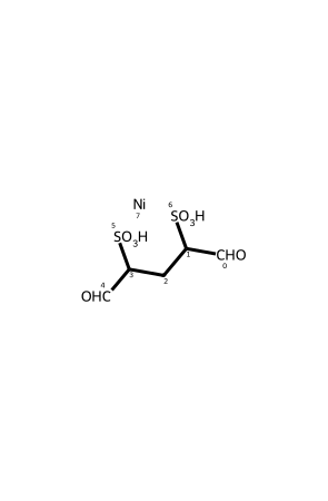 O=CC(CC(C=O)S(=O)(=O)O)S(=O)(=O)O.[Ni]